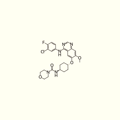 COc1cc2ncnc(Nc3ccc(F)c(Cl)c3)c2cc1O[C@H]1CC[C@H](NC(=O)N2CCOCC2)CC1